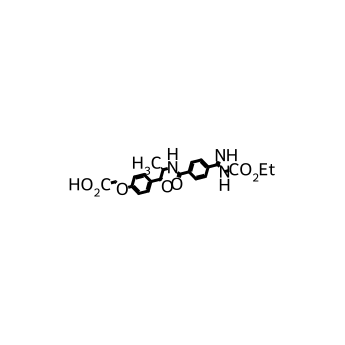 CCOC(=O)NC(=N)c1ccc(C(=O)N[C@@H](C)C(=O)c2ccc(OCC(=O)O)cc2)cc1